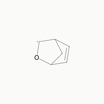 [CH]1OC2C=CC1C2